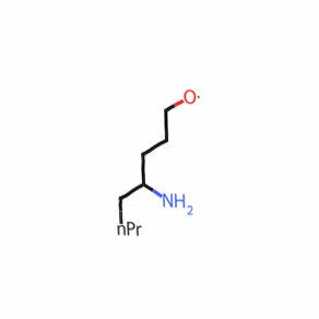 CCCCC(N)CCC[O]